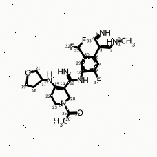 CN/C=C(\C=N)c1cc(F)c(NC(=N)C2=C(NC3CCOC3)CCN(C(C)=O)C2)cc1C(F)F